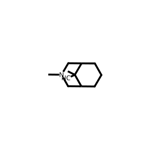 CN1CC2CCCC(C1)C2(C)C#N